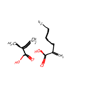 C=C(C)C(=O)O.C=C(CCCC)C(=O)O